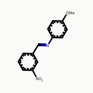 COc1ccc(/N=C/c2cccc([N+](=O)[O-])c2)cc1